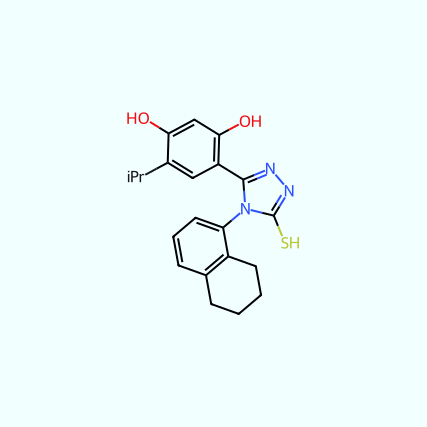 CC(C)c1cc(-c2nnc(S)n2-c2cccc3c2CCCC3)c(O)cc1O